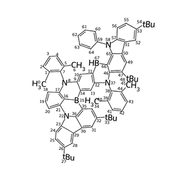 Cc1cccc(C)c1N1c2cc3c(cc2B2c4c1cccc4-n1c4ccc(C(C)(C)C)cc4c4cc(C(C)(C)C)cc2c41)N(c1c(C)cccc1C)c1c(C(C)(C)C)cc2c4cc(C(C)(C)C)ccc4n(-c4ccccc4)c2c1B3